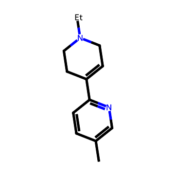 CCN1CC=C(c2ccc(C)cn2)CC1